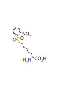 NC(CCCCCCS(=O)(=O)c1ccccc1[N+](=O)[O-])C(=O)O